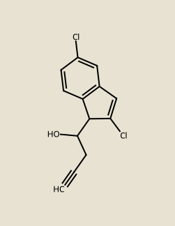 C#CCC(O)C1C(Cl)=Cc2cc(Cl)ccc21